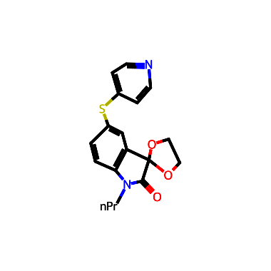 CCCN1C(=O)C2(OCCO2)c2cc(Sc3ccncc3)ccc21